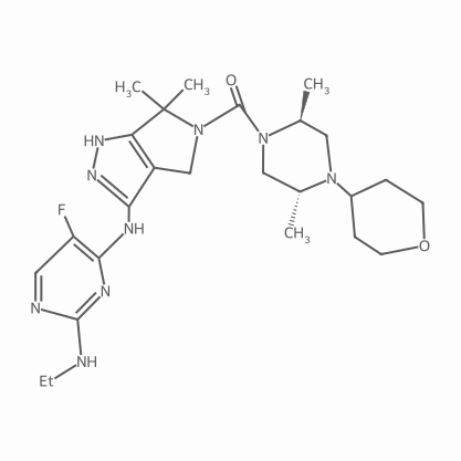 CCNc1ncc(F)c(Nc2n[nH]c3c2CN(C(=O)N2C[C@@H](C)N(C4CCOCC4)C[C@@H]2C)C3(C)C)n1